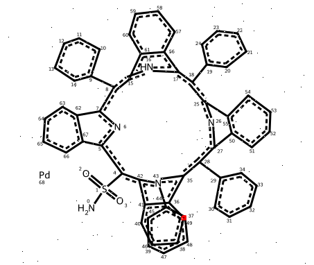 NS(=O)(=O)c1c2nc(c(-c3ccccc3)c3[nH]c(c(-c4ccccc4)c4nc(c(-c5ccccc5)c5c6ccccc6c1n5-c1ccccc1)-c1ccccc1-4)c1ccccc31)-c1ccccc1-2.[Pd]